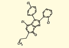 C=CCc1cn(CC)c2c(-c3ccc(Cl)cc3)c(-c3ccccc3Cl)nn2c1=O